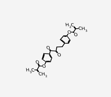 C=C(C)C(=O)Oc1ccc(CCC(=O)C(=O)c2ccc(OC(=O)C(=C)C)cc2)cc1